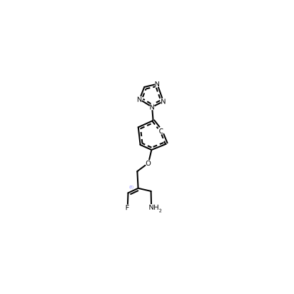 NC/C(=C\F)COc1ccc(-n2ncnn2)cc1